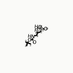 CC(C)(C)OC(=O)NCC(F)C[PH](=O)O